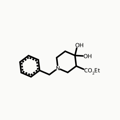 CCOC(=O)C1CN(Cc2ccccc2)CCC1(O)O